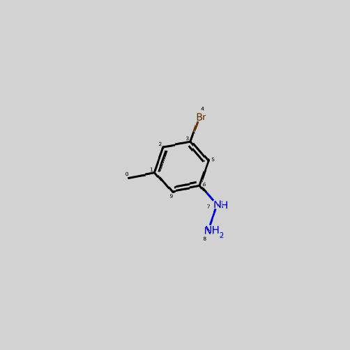 Cc1cc(Br)cc(NN)c1